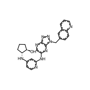 O[C@@H]1CCC[C@H]1Nc1ccnc(Nc2cnc3nnn(Cc4ccc5ncccc5c4)c3n2)c1